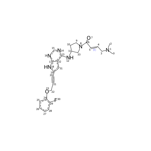 CN(C)C/C=C/C(=O)N1CCC(Nc2ncnc3[nH]c(C#CCOc4ccccc4F)cc23)C1